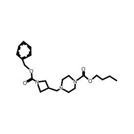 CCCCOC(=O)N1CCN(CC2CN(C(=O)OCc3ccccc3)C2)CC1